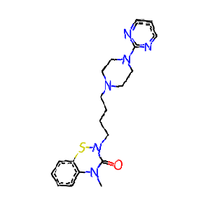 CN1C(=O)N(CCCCN2CCN(c3ncccn3)CC2)Sc2ccccc21